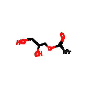 CCCC(=O)OCC(O)CO